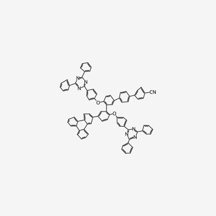 N#Cc1ccc(-c2ccc(-c3ccc(Oc4ccc(-c5nc(-c6ccccc6)nc(-c6ccccc6)n5)cc4)c(-c4cc(-c5ccc6c7ccccc7c7ccccc7c6c5)ccc4Oc4ccc(-c5nc(-c6ccccc6)nc(-c6ccccc6)n5)cc4)c3)cc2)cc1